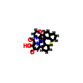 O=C1c2c(O)c(=O)ccn2N([C@@H]2c3ccccc3Sc3cccc4cccc2c34)[C@@H]2COCCN12